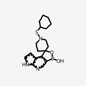 OB1OC2(CCN(SC3CCCCC3)CC2)c2c1cnc1[nH]ccc21